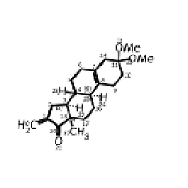 C=C1C[C@H]2[C@@H]3CCC4=C(CCC(OC)(OC)C4)[C@H]3CC[C@]2(C)C1=O